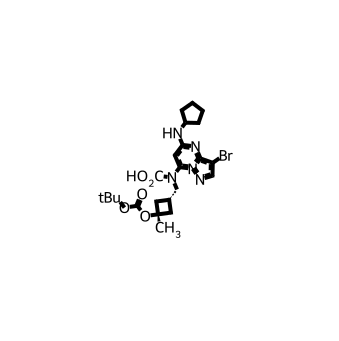 CC(C)(C)OC(=O)O[C@]1(C)C[C@H](CN(C(=O)O)c2cc(NC3CCCC3)nc3c(Br)cnn23)C1